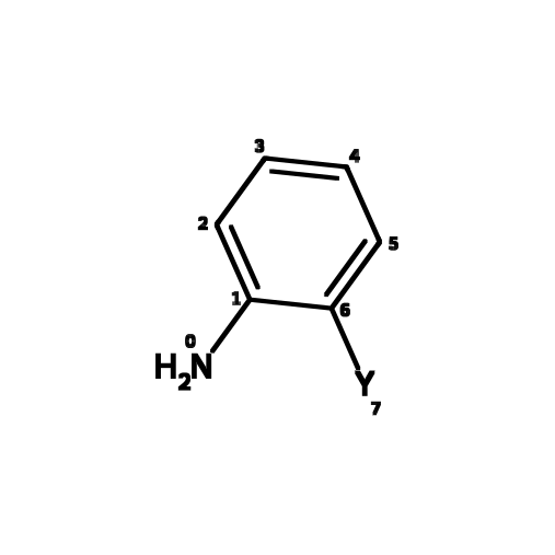 Nc1cccc[c]1[Y]